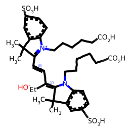 CCC(/C=C/C1=[N+](CCCCCC(=O)O)c2ccc(S(=O)(=O)O)cc2C1(C)C)=C1/N(CCCCCC(=O)O)c2ccc(S(=O)(=O)O)cc2C1(C)C.[OH-]